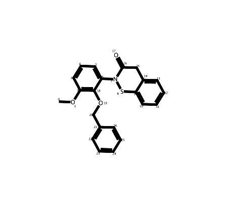 COc1cccc(N2Sc3ccccc3CC2=O)c1OCc1ccccc1